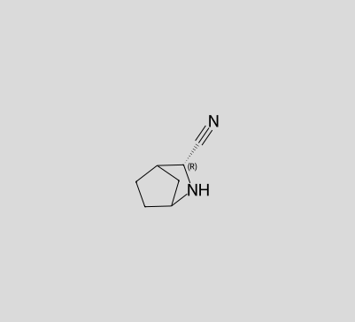 N#C[C@@H]1NC2CCC1C2